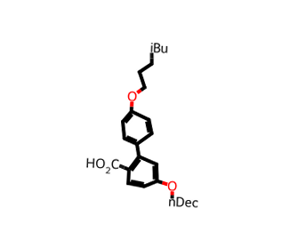 CCCCCCCCCCOc1ccc(C(=O)O)c(-c2ccc(OCCCC(C)CC)cc2)c1